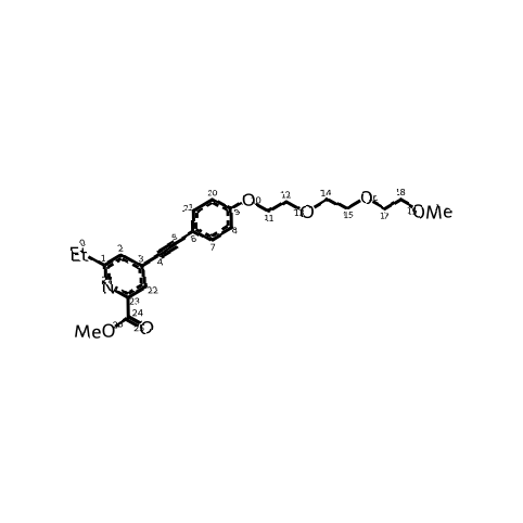 CCc1cc(C#Cc2ccc(OCCOCCOCCOC)cc2)cc(C(=O)OC)n1